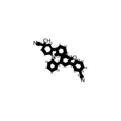 CC1(C#N)C=Cc2c(c3ccccc3n2-c2ccccc2-c2ccc3oc4ccc(C#N)cc4c3c2)C1